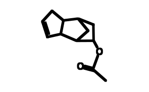 CC(=O)OC1CC2CC1C1C=CCC21